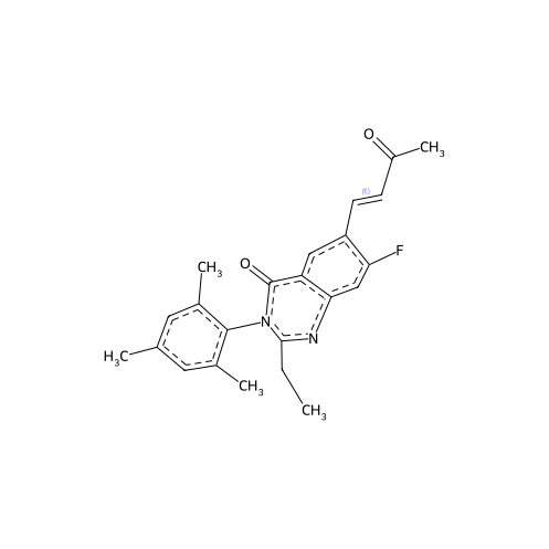 CCc1nc2cc(F)c(/C=C/C(C)=O)cc2c(=O)n1-c1c(C)cc(C)cc1C